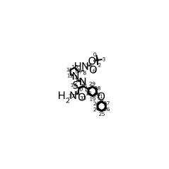 CC(C)(C)OC(=O)NC[C@@H]1CCCN1c1nc(-c2ccc(Oc3ccccc3)cc2)c(C(N)=O)s1